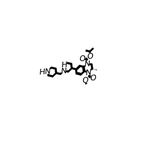 CCC(CNCC1CCNCC1)c1ccc2c(c1)N(C(=O)OC(C)C)C[C@H](C)N2C(=O)OC